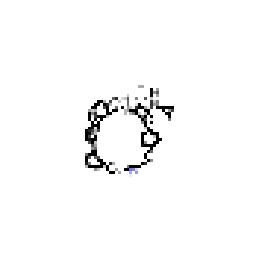 O=C1N[C@H](C(O)C(=O)NC2CC2)Cc2ccc(cc2)OC/C=C/COc2cccc(c2)-c2ccn(n2)-c2ncccc21